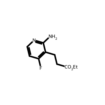 CCOC(=O)CCc1c(F)ccnc1N